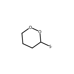 [S]C1CCCOO1